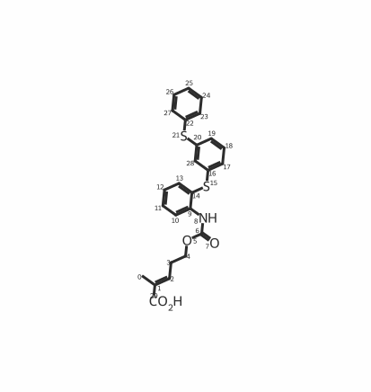 CC(=CCCOC(=O)Nc1ccccc1Sc1cccc(Sc2ccccc2)c1)C(=O)O